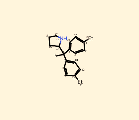 CCc1ccc(C(C)(c2ccc(CC)cc2)C2CCCN2)cc1